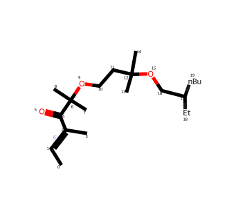 C/C=C(\C)C(=O)C(C)(C)OCCC(C)(C)OCC(CC)CCCC